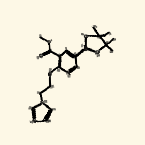 COC(=O)c1cc(B2OC(C)(C)C(C)(C)O2)cnc1OCCn1ccnc1